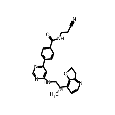 C[C@H](CNc1cc(-c2ccc(C(=O)NCCC#N)cc2)ncn1)c1ccnc2c1OCC2